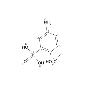 CC(=O)O.Nc1cccc(P(=O)(O)O)c1